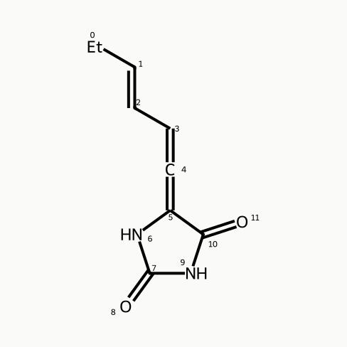 CCC=CC=C=C1NC(=O)NC1=O